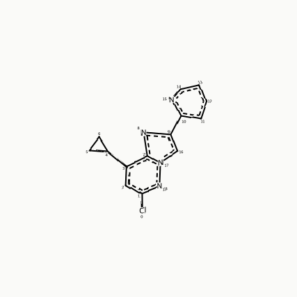 Clc1cc(C2CC2)c2nc(-c3ccccn3)cn2n1